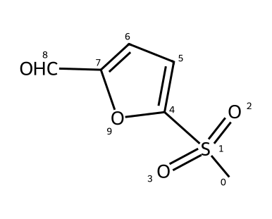 CS(=O)(=O)c1ccc(C=O)o1